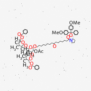 COc1ccc(C(OC[C@@H]2CCCN2C(=O)CCCCCCC(=O)CCCCCCCCOC2OC(COC3OC(COC(=O)c4ccccc4)C(C)C(C)C3C)C(C)C(OC3OC(COC(=O)c4ccccc4)C(C)C(C)C3C)C2OC(C)=O)(c2ccccc2)c2ccc(OC)cc2)cc1